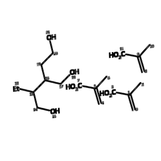 C=C(C)C(=O)O.C=C(C)C(=O)O.C=C(C)C(=O)O.CCC(CO)C(CO)CCO